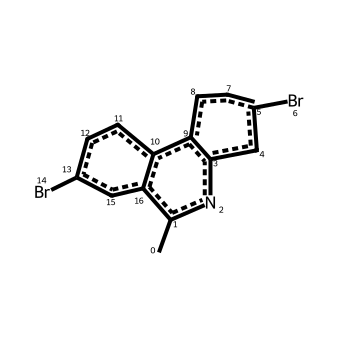 Cc1nc2cc(Br)ccc2c2ccc(Br)cc12